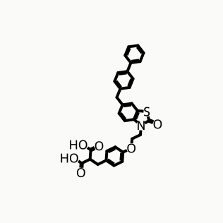 O=C(O)C(Cc1ccc(OCCn2c(=O)sc3cc(Cc4ccc(-c5ccccc5)cc4)ccc32)cc1)C(=O)O